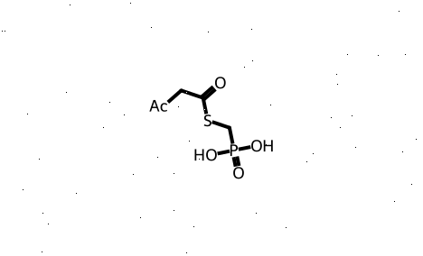 CC(=O)CC(=O)SCP(=O)(O)O